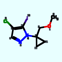 COCC1(n2ncc(Cl)c2I)CC1